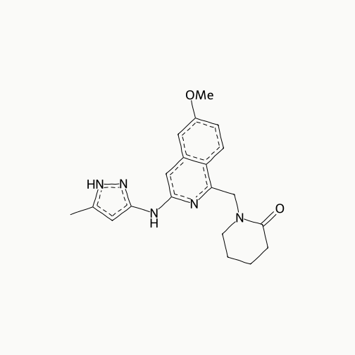 COc1ccc2c(CN3CCCCC3=O)nc(Nc3cc(C)[nH]n3)cc2c1